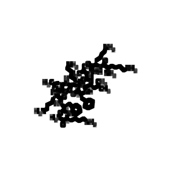 CC(C)C[C@H](NC(=O)[C@H](CCCCN)NC(=O)[C@H](Cc1ccccc1)NC(=O)[C@H](CC(C)C)NC(=O)[C@@H](NC(=O)[C@H](CCCCN)NC(=O)[C@@H](N)CCCCN)C(C)C)C(=O)N[C@@H](CCCCN)C(=O)N[C@@H](Cc1ccccc1)C(=O)N[C@@H](CCCCN)C(N)=O